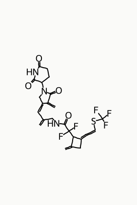 C=C(/C=C1/CN(C2CCC(=O)NC2=O)C(=O)C1=C)CNC(=O)C(F)(F)C1C(=C)CC1=C=CSC(F)(F)F